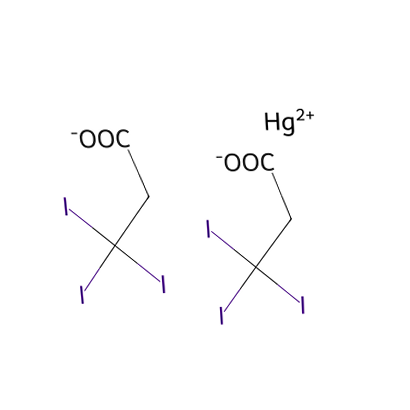 O=C([O-])CC(I)(I)I.O=C([O-])CC(I)(I)I.[Hg+2]